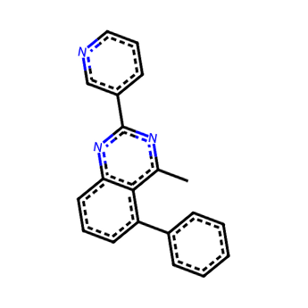 Cc1nc(-c2cccnc2)nc2cccc(-c3ccccc3)c12